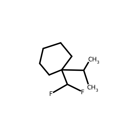 CC(C)C1(C(F)F)CCCCC1